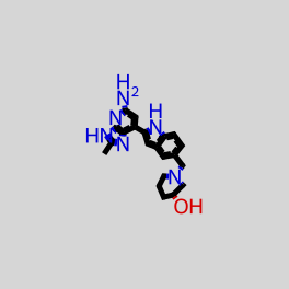 Cc1nc2c(-c3cc4cc(CN5CCCC(O)C5)ccc4[nH]3)cc(N)nc2[nH]1